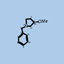 CO[C@@H]1CCN(Cc2ccccc2)C1